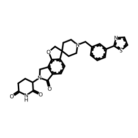 O=C1CCC(N2Cc3c(ccc4c3OCC43CCN(Cc4cccc(-c5nccs5)c4)CC3)C2=O)C(=O)N1